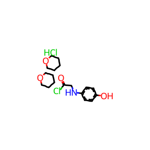 C1CCOCC1.C1CCOCC1.Cl.O=C(Cl)CNc1ccc(O)cc1